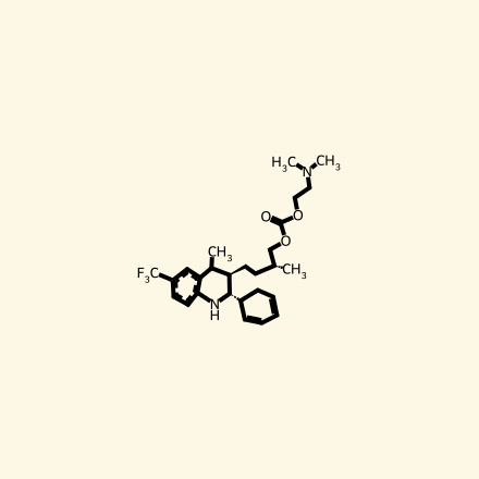 CC1c2cc(C(F)(F)F)ccc2N[C@@H](C2C=CC=CC2)[C@@H]1CC[C@@H](C)COC(=O)OCCN(C)C